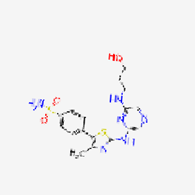 Cc1nc(Nc2cncc(NCCCO)n2)sc1-c1ccc(S(N)(=O)=O)cc1